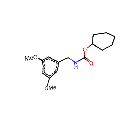 COc1cc(CNC(=O)OC2CCCCC2)cc(OC)c1